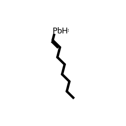 CCCCCCC=[CH][PbH]